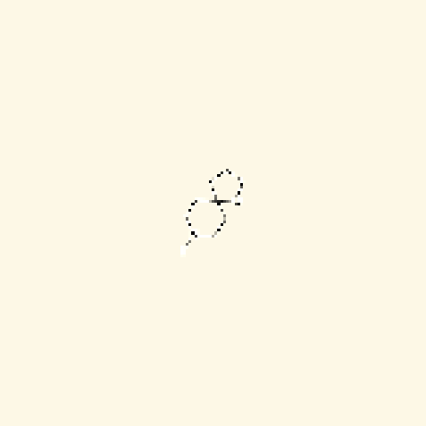 IN1CCC2(CCCO2)CC1